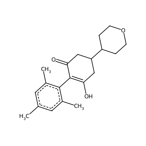 Cc1cc(C)c(C2=C(O)CC(C3CCOCC3)CC2=O)c(C)c1